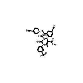 COC(=O)C1=C(C)N(c2cccc(C(F)(F)F)c2)C(=N)N(C(N)=O)[C@@H]1c1ccc(C#N)cc1CC[n+]1ccc(C#N)cc1